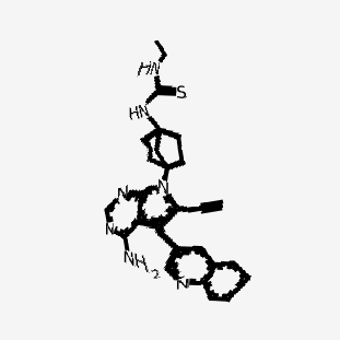 C#Cc1c(-c2cnc3ccccc3c2)c2c(N)ncnc2n1C12CCC(NC(=S)NCC)(CC1)C2